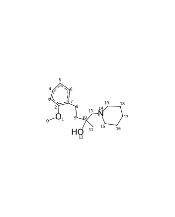 COc1ccccc1CCC(C)(O)CN1CCCCC1